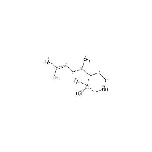 CC(C)=CCC(C)C1CCNCC1(C)C